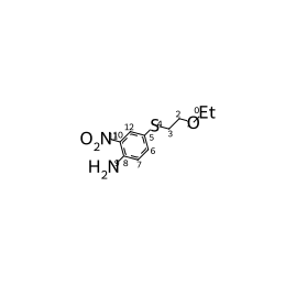 CCOCCSc1ccc(N)c([N+](=O)[O-])c1